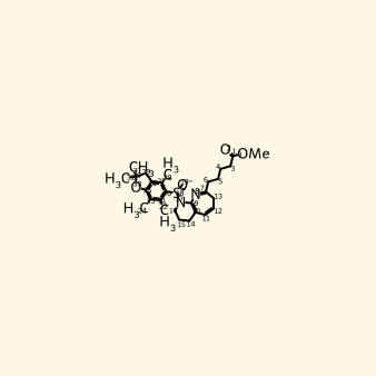 COC(=O)CCCCC1=NC2=C(C=CC1)CCCN2[S+]([O-])c1c(C)c(C)c2c(c1C)CC(C)(C)O2